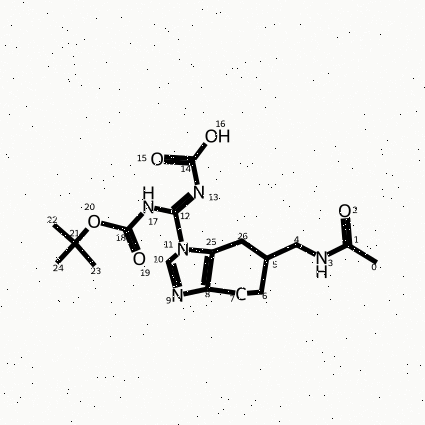 CC(=O)NCC1CCc2ncn(C(=NC(=O)O)NC(=O)OC(C)(C)C)c2C1